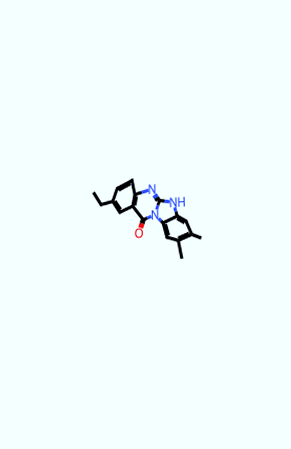 CCc1ccc2nc3[nH]c4cc(C)c(C)cc4n3c(=O)c2c1